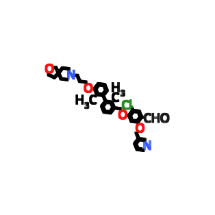 Cc1c(COc2cc(OCc3cccnc3)c(C=O)cc2Cl)cccc1-c1cccc(OCCCN2CCC3(CCOC3)CC2)c1C